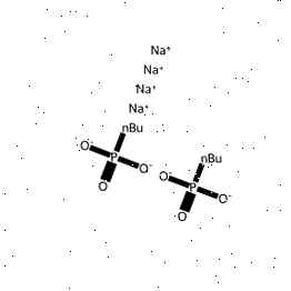 CCCCP(=O)([O-])[O-].CCCCP(=O)([O-])[O-].[Na+].[Na+].[Na+].[Na+]